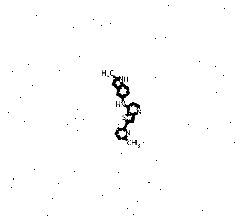 Cc1cccc(-c2cc3nccc(Nc4ccc5[nH]c(C)cc5c4)c3s2)n1